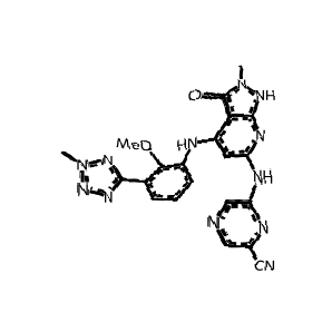 COc1c(Nc2cc(Nc3cncc(C#N)n3)nc3[nH]n(C)c(=O)c23)cccc1-c1nnn(C)n1